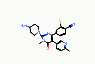 Cc1ccc(-c2c(-c3ccc(C#N)c(F)c3)nc(N3CCC(N)CC3)n(C)c2=O)cn1